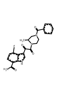 CC1CN(C(=O)c2ccccc2)CCN1C(=O)C(=O)c1c[nH]c2c(C(N)=O)ccc(F)c12